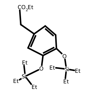 CCOC(=O)Cc1ccc(O[Si](CC)(CC)CC)c(O[Si](CC)(CC)CC)c1